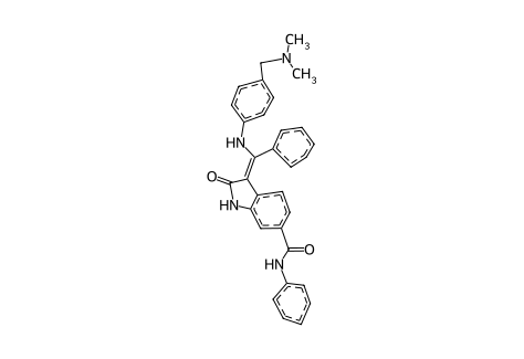 CN(C)Cc1ccc(N/C(=C2\C(=O)Nc3cc(C(=O)Nc4ccccc4)ccc32)c2ccccc2)cc1